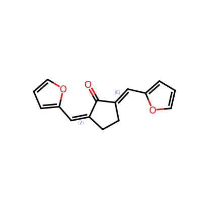 O=C1/C(=C\c2ccco2)CC/C1=C\c1ccco1